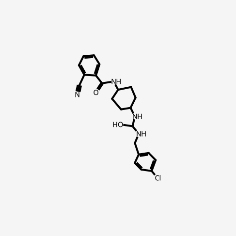 N#Cc1ccccc1C(=O)NC1CCC(NC(O)NCc2ccc(Cl)cc2)CC1